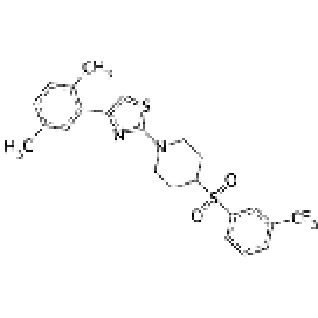 Cc1ccc(C)c(-c2csc(N3CCC(S(=O)(=O)c4cccc(C(F)(F)F)c4)CC3)n2)c1